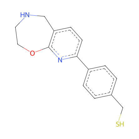 SCc1ccc(-c2ccc3c(n2)OCCNC3)cc1